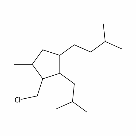 CC(C)CCC1CC(C)C(CCl)C1CC(C)C